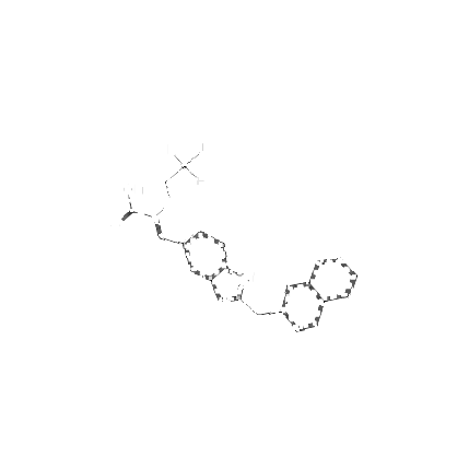 O=C(O)C(=Cc1ccc2[nH]c(Cc3ccc4ccccc4c3)cc2c1)OCC(F)(F)F